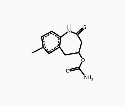 NC(=O)OC1CC(=S)Nc2ccc(F)cc2C1